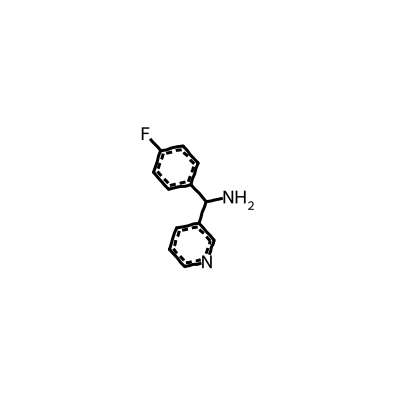 NC(c1ccc(F)cc1)c1cccnc1